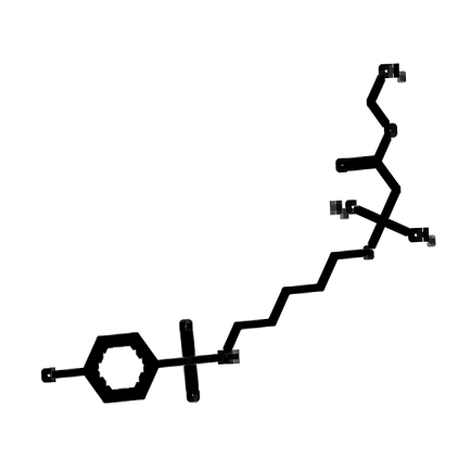 CCOC(=O)CC(C)(C)SCCCCCNS(=O)(=O)c1ccc(Cl)cc1